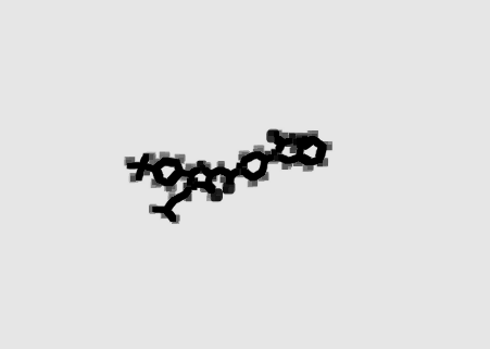 CC(C)CCN1C(=O)C(CC(=O)N2CCC(N3Cc4ccccc4NC3=O)CC2)SC1c1ccc(C(C)(C)C)cc1